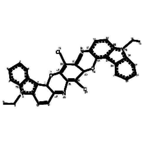 CCn1c2c(c3ccccc31)C1OC3=C(Cl)C4=Nc5ccc6c(c5OC4C(Cl)=C3N=C1C=C2)c1ccccc1n6CC